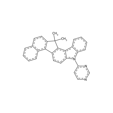 CC1(C)c2ccc3ccccc3c2-c2ccc3c(c21)c1ccccc1n3-c1ccncn1